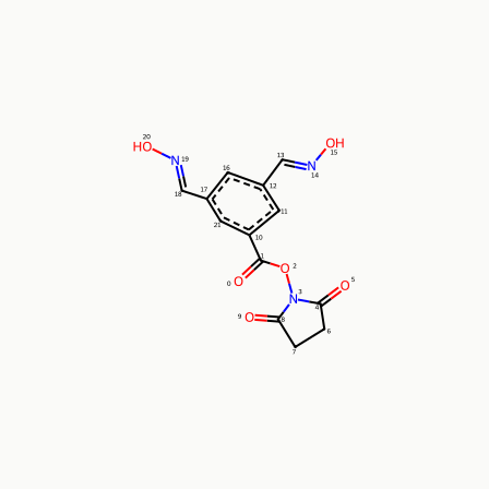 O=C(ON1C(=O)CCC1=O)c1cc(C=NO)cc(C=NO)c1